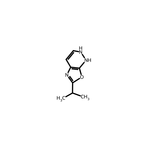 CC(C)c1nc2c(o1)NNC=C2